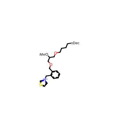 CCCCCCCCCCCCCCOCC(COCc1ccccc1C[n+]1ccsc1)OC